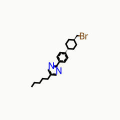 CCCCCc1cnc(-c2ccc([C@H]3CC[C@H](CBr)CC3)cc2)nc1